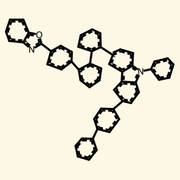 c1ccc(-c2ccc(-c3ccc4c(c3)c3cc(-c5ccccc5-c5ccccc5-c5ccc(-c6nc7ccccc7o6)cc5)ccc3n4-c3ccccc3)cc2)cc1